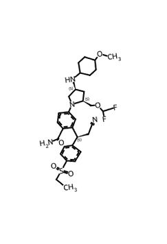 CCS(=O)(=O)c1ccc([C@H](CC#N)c2cc(N3C[C@@H](NC4CCC(OC)CC4)C[C@H]3COC(F)F)ccc2C(N)=O)cc1